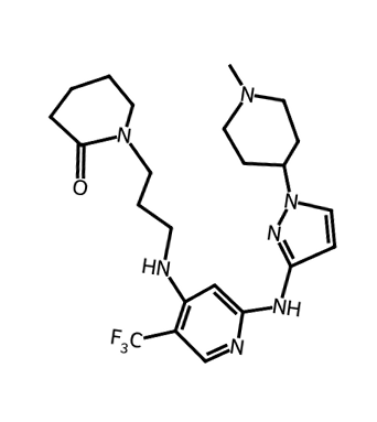 CN1CCC(n2ccc(Nc3cc(NCCCN4CCCCC4=O)c(C(F)(F)F)cn3)n2)CC1